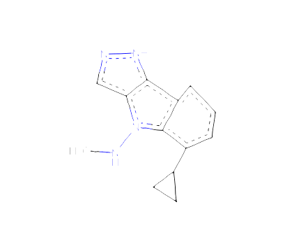 CNn1c2cn[nH]c2c2cccc(C3CC3)c21